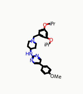 COc1ccc(-c2cnc(NC3CCN(Cc4cc(OC(C)C)cc(OC(C)C)c4)CC3)nc2)cc1